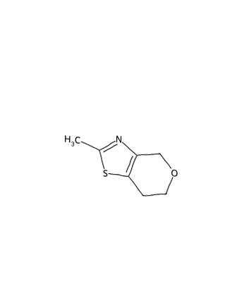 Cc1nc2c(s1)CCOC2